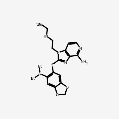 CCN(CC)c1cc2c(cc1Sc1nc3c(N)nccc3n1CCNCC(C)(C)C)OCO2